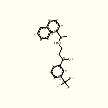 CC(NCC[C@@H](Cl)c1cccc(C(F)(F)F)c1)c1cccc2ccccc12